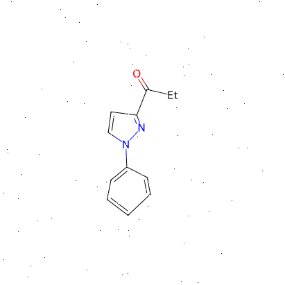 CCC(=O)c1ccn(-c2ccccc2)n1